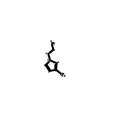 CC(C)CSn1ccc(C(F)(F)F)n1